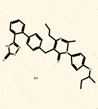 CCCc1nc(C)n(-c2ccc(OC(C)CC)cc2)c(=O)c1Cc1ccc(-c2ccccc2-c2noc(=O)[nH]2)cc1.[KH]